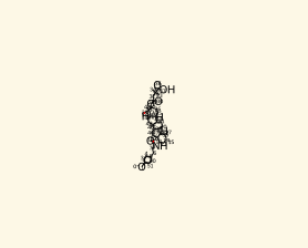 COc1ccc(CCNC(=O)[C@]23CC[C@@H](C)[C@H](C)[C@H]2C2=CC[C@@H]4[C@@]5(C)CC[C@H](OC(=O)CC(C)(C)C(=O)O)C(C)(C)[C@@H]5CC[C@@]4(C)[C@]2(C)CC3)cc1